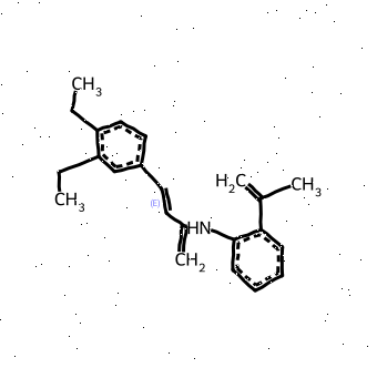 C=C(/C=C/c1ccc(CC)c(CC)c1)Nc1ccccc1C(=C)C